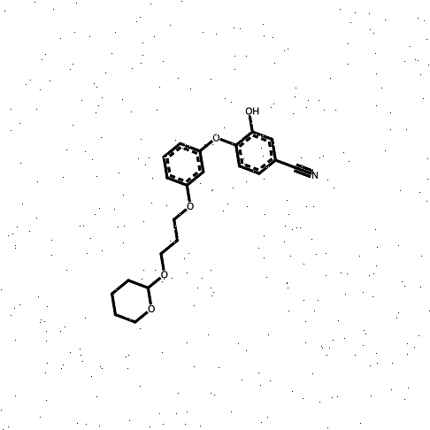 N#Cc1ccc(Oc2cccc(OCCCOC3CCCCO3)c2)c(O)c1